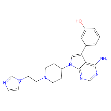 Nc1ncnc2c1c(-c1cccc(O)c1)cn2C1CCN(CCn2ccnc2)CC1